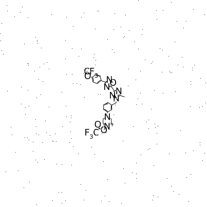 Cc1nc(-c2nc(-c3ccc(OC(F)(F)F)cc3)no2)nn1Cc1cccc(N2CC[N+](C)(OC(=O)C(F)(F)F)CC2)c1